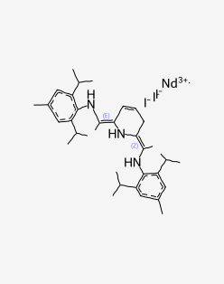 C/C(Nc1c(C(C)C)cc(C)cc1C(C)C)=C1\CC=C/C(=C(/C)Nc2c(C(C)C)cc(C)cc2C(C)C)N1.[I-].[I-].[I-].[Nd+3]